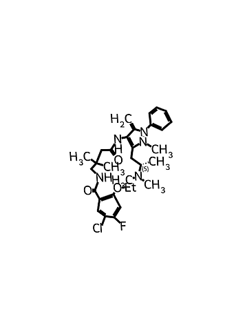 C=C1C(NC(=O)CC(C)(C)CNC(=O)c2cc(Cl)c(F)cc2OCC)=C(C[C@H](C)N(C)C)N(C)N1c1ccccc1